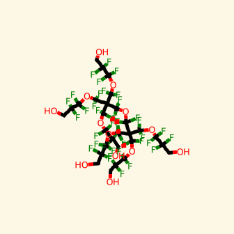 OCC(F)(F)C(F)(F)OC(F)(F)C(C(F)(F)OC(F)(F)C(F)(F)CO)(C(F)(F)OC(F)(F)C(F)(F)CO)C(F)(F)OC(F)(F)C(C(F)(F)OC(F)(F)C(F)(F)CO)(C(F)(F)OC(F)(F)C(F)(F)CO)C(F)(F)OC(F)(F)C(F)(F)CO